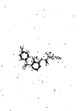 CON(C)C(=O)Cc1cccc(C(=O)c2ccc(Cl)cc2)c1C